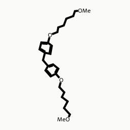 COCCCCCCOc1ccc(Cc2ccc(OCCCCCCOC)cc2)cc1